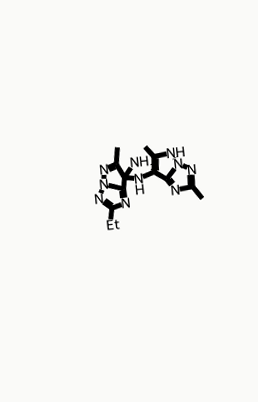 CCc1nc2n(n1)N=C(C)C2(N)Nc1c(C)[nH]n2nc(C)nc12